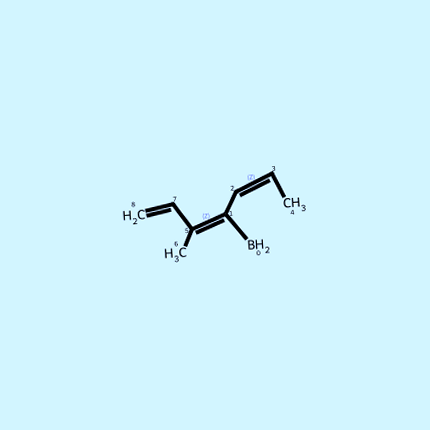 BC(/C=C\C)=C(\C)C=C